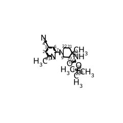 Cc1cc(C#N)cc(N2CCC(C)(NC(=O)OC(C)(C)C)CC2)n1